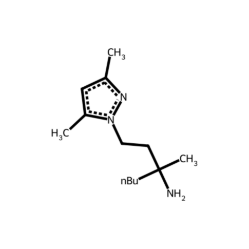 CCCCC(C)(N)CCn1nc(C)cc1C